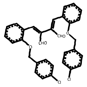 O=CC(=Cc1ccccc1OCc1ccc(Cl)cc1)C(C=O)=Cc1ccccc1OCc1ccc(Cl)cc1